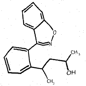 CC(O)CC(C)c1ccccc1-c1noc2ccccc12